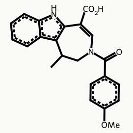 COc1ccc(C(=O)N2C=C(C(=O)O)c3[nH]c4ccccc4c3C(C)C2)cc1